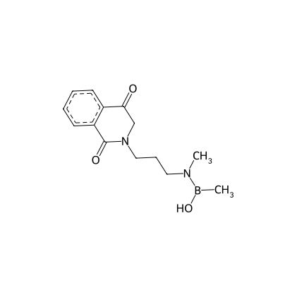 CB(O)N(C)CCCN1CC(=O)c2ccccc2C1=O